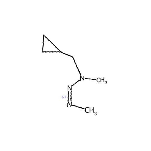 C/N=N\N(C)CC1CC1